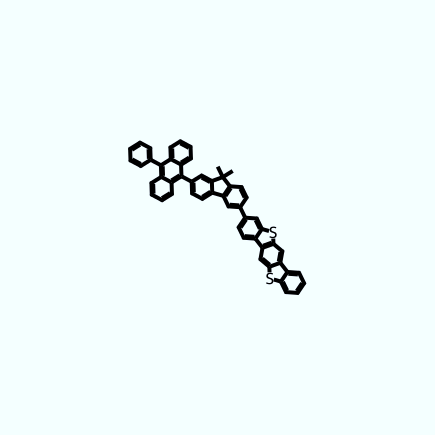 CC1(C)c2ccc(-c3ccc4c(c3)sc3cc5c(cc34)sc3ccccc35)cc2-c2ccc(-c3c4ccccc4c(-c4ccccc4)c4ccccc34)cc21